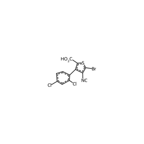 [C-]#[N+]c1c(Br)sc(C(=O)O)c1-c1ccc(Cl)cc1Cl